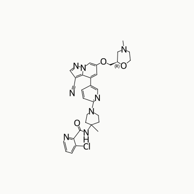 CN1CCO[C@@H](COc2cc(-c3ccc(N4CCC(C)(NC(=O)c5ncccc5Cl)CC4)nc3)c3c(C#N)cnn3c2)C1